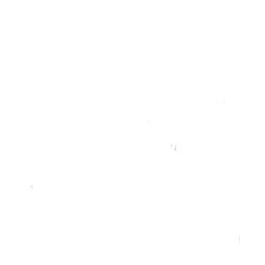 Cc1cc(C)c(S(=O)(=O)N(Cc2cccc(O)c2)c2ccc(CCC=O)cc2)c(C)c1